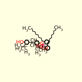 CCCCCCCCCc1ccccc1P(O)(O)(Oc1ccc(C(C)(C)c2ccc(O)c(C(C)(C)C)c2)cc1C(C)(C)C)c1ccccc1CCCCCCCCC